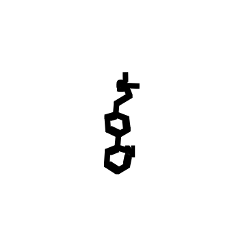 C[Si](C)(C)CCc1ccc(-c2ccccn2)cc1